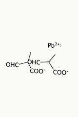 CC(C=O)C(=O)[O-].CC(C=O)C(=O)[O-].[Pb+2]